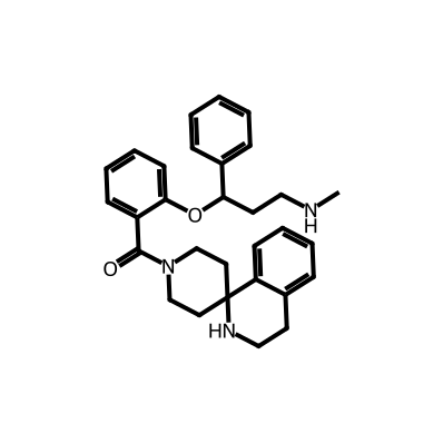 CNCCC(Oc1ccccc1C(=O)N1CCC2(CC1)NCCc1ccccc12)c1ccccc1